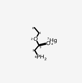 CCOC(=O)CP.[Hg]